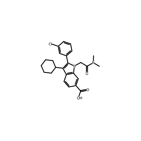 CN(C)C(=O)Cn1c(-c2cccc(Cl)c2)c(C2CCCCC2)c2ccc(C(=O)O)cc21